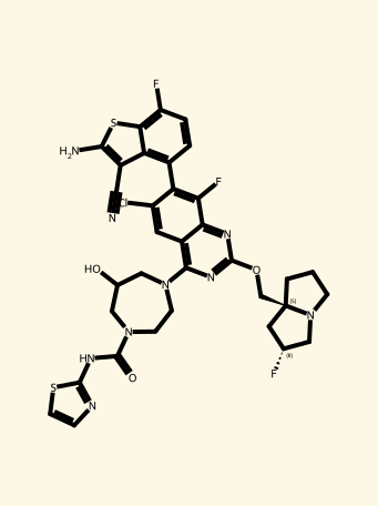 N#Cc1c(N)sc2c(F)ccc(-c3c(Cl)cc4c(N5CCN(C(=O)Nc6nccs6)CC(O)C5)nc(OC[C@@]56CCCN5C[C@H](F)C6)nc4c3F)c12